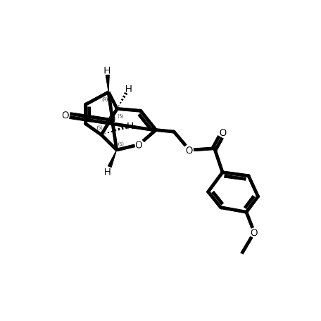 COc1ccc(C(=O)OCC2=C[C@H]3[C@@H]4C=C[C@H]3C(=O)O[C@@H]4O2)cc1